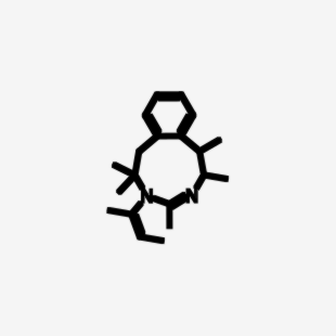 C/C=C(/C)N1/C(C)=N\C(C)C(C)c2ccccc2CC1(C)C